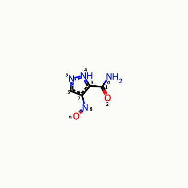 NC(=O)c1[nH]ncc1N=O